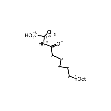 CCCCCCCCCCCCCC(=O)NC(C)C(=O)O